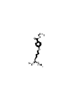 CCOC(=O)c1ccc(OCCCCCC(C)OC)cc1